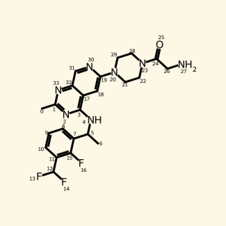 Cc1nc(NC(C)c2cccc(C(F)F)c2F)c2cc(N3CCN(C(=O)CN)CC3)ncc2n1